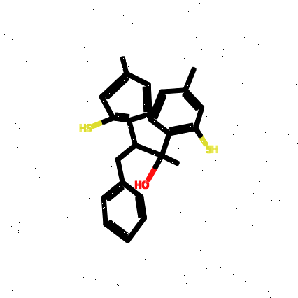 Cc1ccc(C(Cc2ccccc2)C(C)(O)c2ccc(C)cc2S)c(S)c1